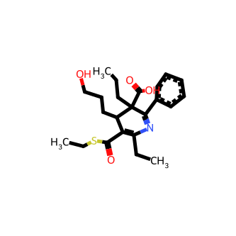 CCCC1(C(=O)O)C(c2ccccc2)=NC(CC)=C(C(=O)SCC)C1CCCO